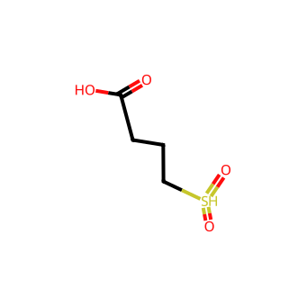 O=C(O)CCC[SH](=O)=O